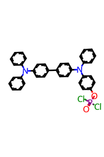 O=P(Cl)(Cl)Oc1ccc(N(c2ccccc2)c2ccc(-c3ccc(N(c4ccccc4)c4ccccc4)cc3)cc2)cc1